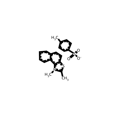 Cc1ccc(S(=O)(=O)[O-])cc1.Cc1sc2ccc3ccccc3c2[n+]1C